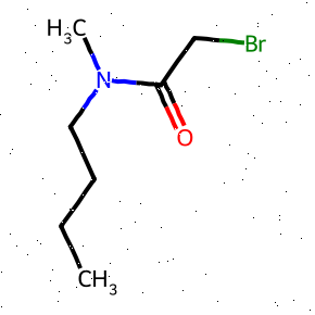 CCCCN(C)C(=O)CBr